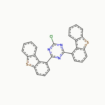 Clc1nc(-c2cccc3sc4ccccc4c23)nc(-c2cccc3sc4ccccc4c23)n1